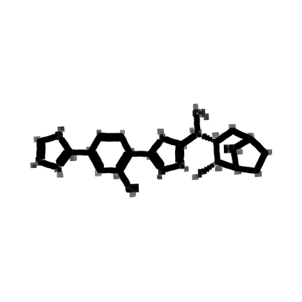 CN(c1nnc(-c2ccc(-c3nnco3)cc2O)s1)[C@@H]1CC2CCC(N2)[C@@H]1F